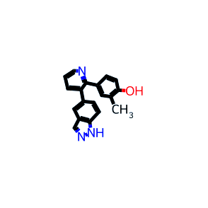 Cc1cc(-c2ncccc2-c2ccc3[nH]ncc3c2)ccc1O